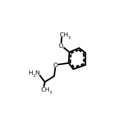 COc1ccccc1OCC(C)N